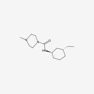 CC[C@@H]1CCC[C@@H](NC(=O)N2CCN(C)CC2)C1